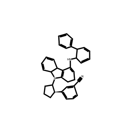 N#Cc1cccc([C@H]2CCCC2N2C3=C(C(NC4C=CC=CC4c4ccccc4)=CCC3)C3C=CC=CC32)c1